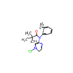 Cc1ccccc1N(C(=O)C(C)(C)C)C1=CN(Cl)CC=N1